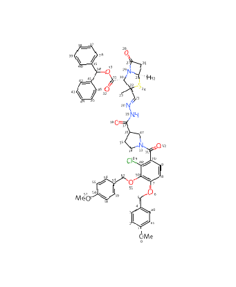 COc1ccc(COc2ccc(C(=O)N3CCC(C(=O)N/N=C/C4(C)S[C@@H]5CC(=O)N5[C@H]4C(=O)OC(c4ccccc4)c4ccccc4)C3)c(Cl)c2OCc2ccc(OC)cc2)cc1